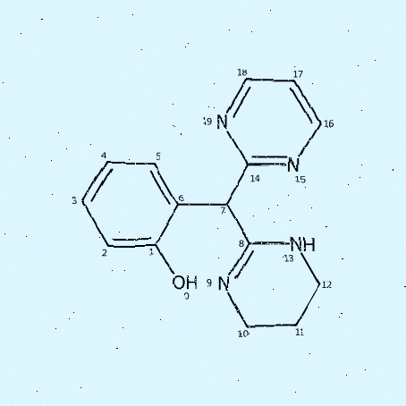 Oc1ccccc1C(C1=NCCCN1)c1ncccn1